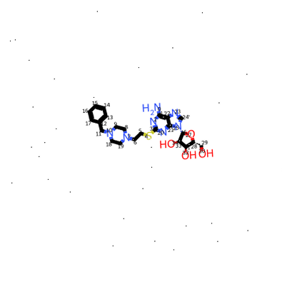 Nc1nc(SCCN2CCN(Cc3ccccc3)CC2)nc2c1ncn2[C@@H]1O[C@H](CO)[C@@H](O)[C@H]1O